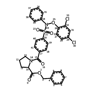 O=C(OCc1ccccc1)C1CCCN1C(=O)c1ccc(S(=O)(=O)N(Oc2ccc(Cl)cc2Cl)c2ccccc2)cc1